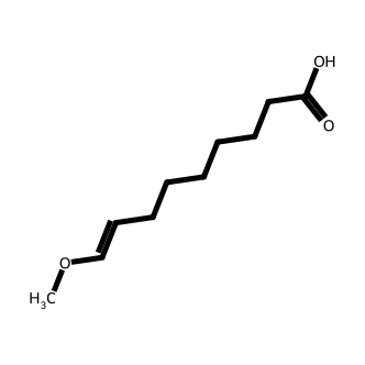 COC=CCCCCCCC(=O)O